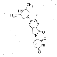 CC1CN(c2cc3c(cc2F)C(=O)N(C2CCC(=O)NC2=O)C3)CC(C)N1